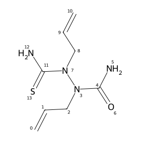 C=CCN(C(N)=O)N(CC=C)C(N)=S